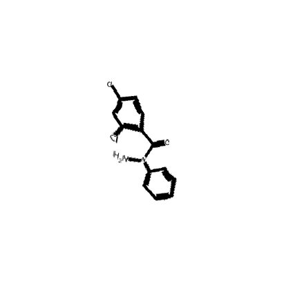 NN(C(=O)c1ccc(Cl)cc1Cl)c1ccccc1